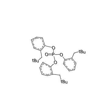 CC(C)(C)Cc1ccccc1OP(=O)(Oc1ccccc1CC(C)(C)C)Oc1ccccc1CC(C)(C)C